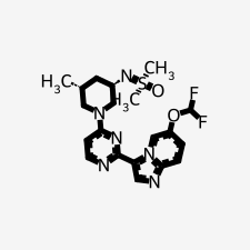 C[C@@H]1C[C@H](N=S(C)(C)=O)CN(c2ccnc(-c3cnc4ccc(OC(F)F)cn34)n2)C1